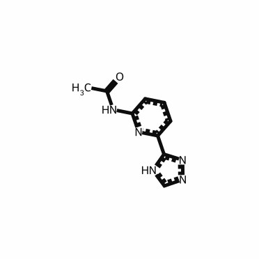 CC(=O)Nc1cccc(-c2nnc[nH]2)n1